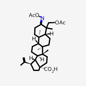 C=C(C)[C@@H]1CC[C@]2(C(=O)O)CC[C@]3(C)[C@H](CC[C@@H]4[C@@]5(C)CCC(=NOC(C)=O)C(C)(COC(C)=O)[C@@H]5CC[C@]43C)[C@@H]12